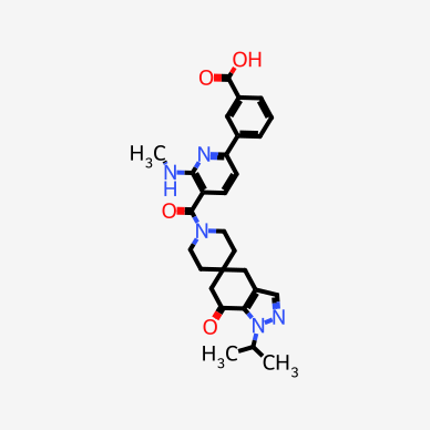 CNc1nc(-c2cccc(C(=O)O)c2)ccc1C(=O)N1CCC2(CC1)CC(=O)c1c(cnn1C(C)C)C2